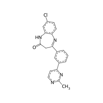 Cc1nccc(-c2cccc(C3=Nc4ccc(Cl)cc4NC(=O)C3)c2)n1